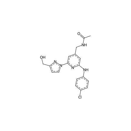 CC(=O)NCc1cc(Nc2ccc(Cl)cc2)nc(-n2ccc(CO)n2)c1